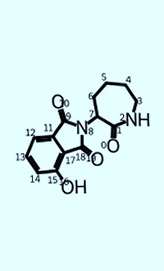 O=C1NCCCCC1N1C(=O)c2cccc(O)c2C1=O